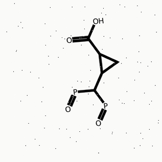 O=PC(P=O)C1CC1C(=O)O